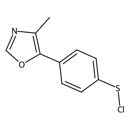 Cc1ncoc1-c1ccc(SCl)cc1